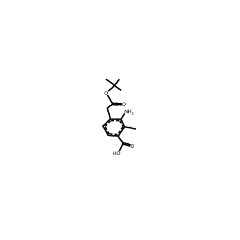 Cc1c(C(=O)O)ccc(CC(=O)OC(C)(C)C)c1N